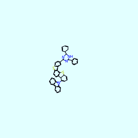 C1=CCC(C2N=C(c3ccc4sc5ccc6c(c5c4c3)SC3C=CC=C(n4c5ccccc5c5ccccc54)C63)N=C(c3ccccc3)N2)C=C1